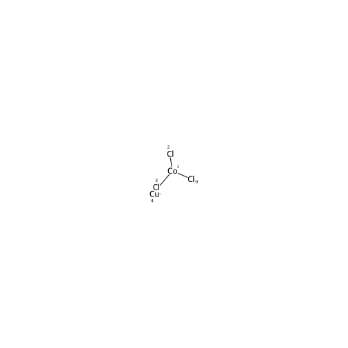 [Cl][Co]([Cl])[Cl].[Cu]